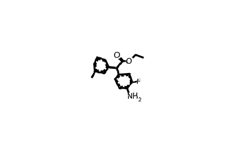 CCOC(=O)C(c1cccc(C)c1)c1ccc(N)c(F)c1